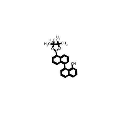 CC1(C)OB(c2cccc3c(-c4cccc5cccc(C#N)c45)cccc23)OC1(C)C